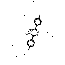 Cc1ccc(C(=O)NN(C(=O)c2ccc(C)cc2)C(C)(C)C)cc1